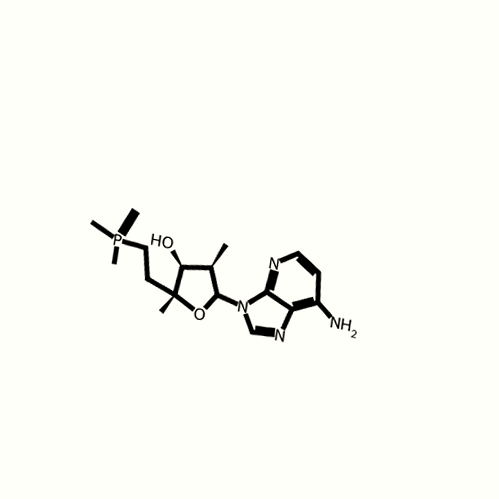 C=P(C)(C)CC[C@@]1(C)OC(n2cnc3c(N)ccnc32)[C@H](C)[C@@H]1O